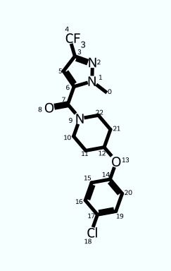 Cn1nc(C(F)(F)F)cc1C(=O)N1CCC(Oc2ccc(Cl)cc2)CC1